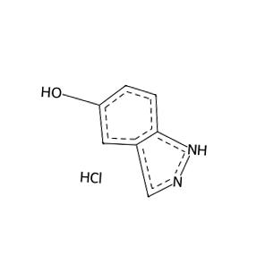 Cl.Oc1ccc2[nH]ncc2c1